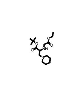 CCOC(=O)CNC(CN1CCCCC1)C(=O)OC(C)(C)C